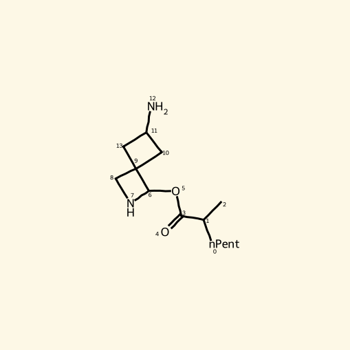 CCCCCC(C)C(=O)OC1NCC12CC(N)C2